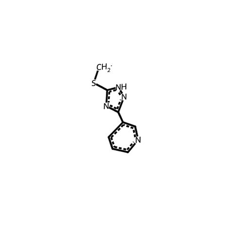 [CH2]Sc1nc(-c2cccnc2)n[nH]1